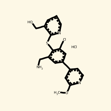 COc1cc(-c2cc(Cl)c(Sc3ncccc3CO)c(CN)c2)ccn1.Cl